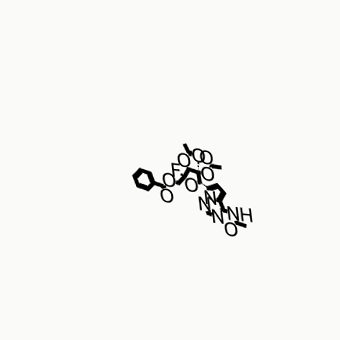 CC(=O)Nc1ncnn2c([C@@H]3O[C@](F)(COC(=O)c4ccccc4)[C@@H](OC(C)=O)[C@@]3(C)OC(C)=O)ccc12